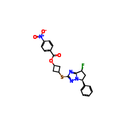 O=C(OC1CC(Sc2nc3n(n2)[C@H](c2ccccc2)C[C@@H]3F)C1)c1ccc([N+](=O)[O-])cc1